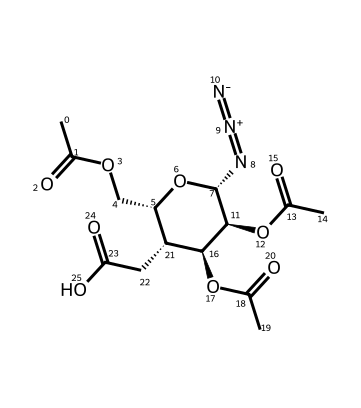 CC(=O)OC[C@@H]1O[C@H](N=[N+]=[N-])[C@@H](OC(C)=O)[C@@H](OC(C)=O)[C@@H]1CC(=O)O